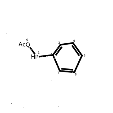 CC(=O)OPc1ccccc1